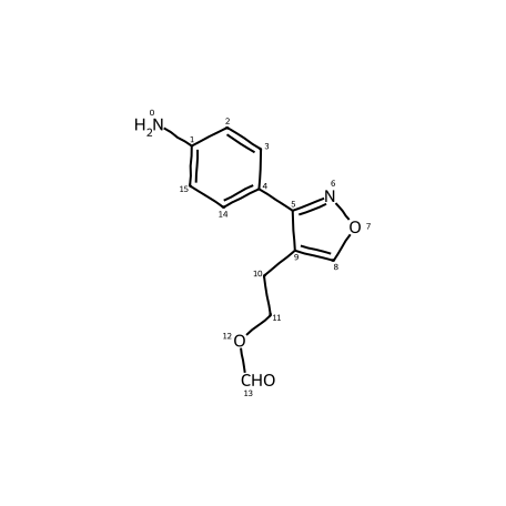 Nc1ccc(-c2nocc2CCOC=O)cc1